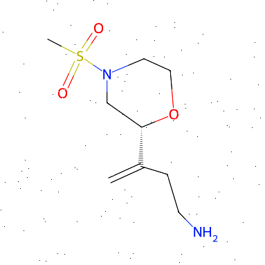 C=C(CCN)[C@@H]1CN(S(C)(=O)=O)CCO1